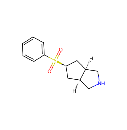 O=S(=O)(c1ccccc1)[C@H]1C[C@H]2CNC[C@H]2C1